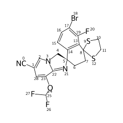 N#CC1=CN2C[C@@]3(CCC4(SCCS4)c4c3ccc(Br)c4F)N=C2C(OC(F)F)=C1